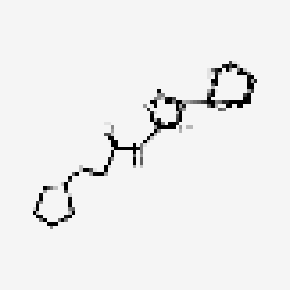 O=C(COC1CCCC1)Nc1nnc(-c2ccccn2)[nH]1